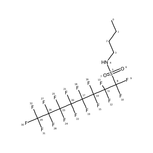 CCCCNS(=O)(=O)C(F)(F)C(F)(F)C(F)(F)C(F)(F)C(F)(F)C(F)(F)C(F)(F)C(F)(F)F